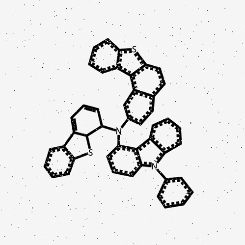 C1=CC(N(c2ccc3ccc4sc5ccccc5c4c3c2)c2cccc3c2c2ccccc2n3-c2ccccc2)C2Sc3ccccc3C2=C1